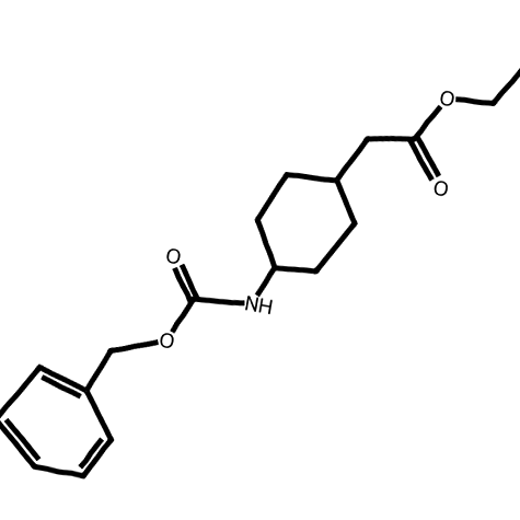 CCOC(=O)CC1CCC(NC(=O)OCc2ccccc2)CC1